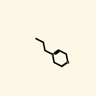 CCC[N+]1=CCOCC1